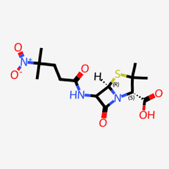 CC1(C)S[C@@H]2C(NC(=O)CCC(C)(C)[N+](=O)[O-])C(=O)N2[C@H]1C(=O)O